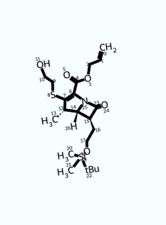 C=CCOC(=O)C1=C(SCCO)[C@@H](C)[C@H]2[C@H](CCO[Si](C)(C)C(C)(C)C)C(=O)N12